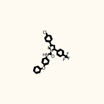 O=C(Nc1ccc(Oc2ccccc2)cc1)N1N=C(c2ccc(Cl)cc2)CC1c1ccc(C(F)(F)F)cc1